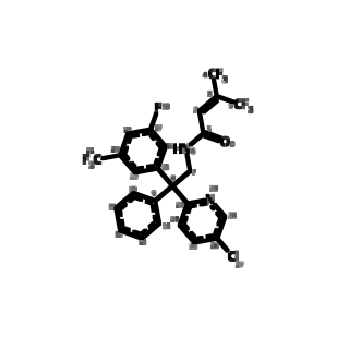 O=C(C=C(C(F)(F)F)C(F)(F)F)NCC(c1ccccc1)(c1cc(F)cc(C(F)(F)F)c1)c1ccc(Cl)cn1